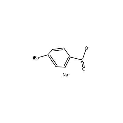 CCC(C)c1ccc(S(=O)[O-])cc1.[Na+]